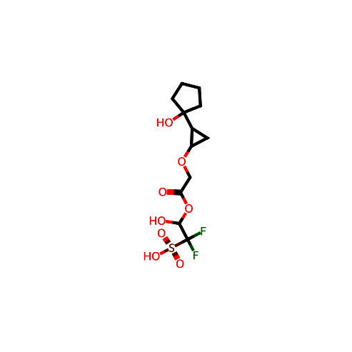 O=C(COC1CC1C1(O)CCCC1)OC(O)C(F)(F)S(=O)(=O)O